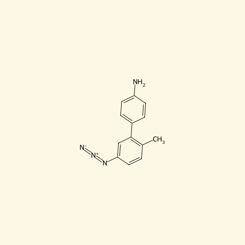 Cc1ccc(N=[N+]=[N-])cc1-c1ccc(N)cc1